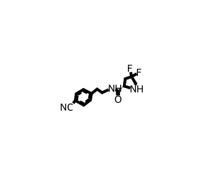 N#Cc1ccc(CCNC(=O)[C@@H]2CC(F)(F)CN2)cc1